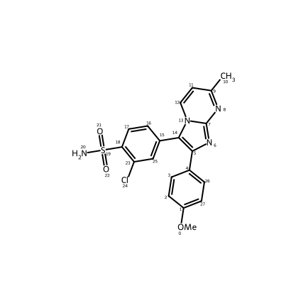 COc1ccc(-c2nc3nc(C)ccn3c2-c2ccc(S(N)(=O)=O)c(Cl)c2)cc1